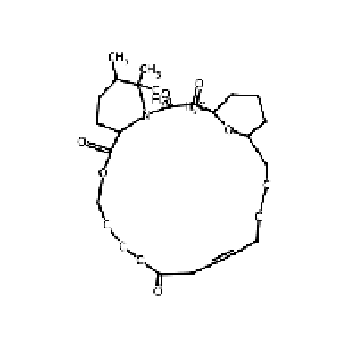 CC1CCC2C(=O)OCCCCC(=O)CC=CCCCCC3CCCC(C)(O3)C(=O)C(=O)N2C1(C)C